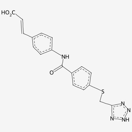 O=C(O)/C=C/c1ccc(NC(=O)c2ccc(SCc3nn[nH]n3)cc2)cc1